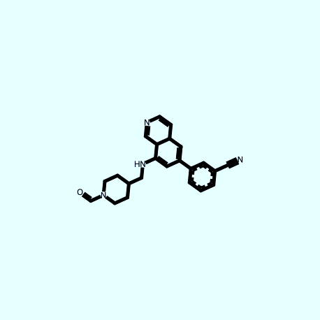 N#Cc1cccc(C2=CC3C=CN=CC3C(NCC3CCN(C=O)CC3)=C2)c1